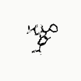 Cc1cc(C(=O)O)cc2c1c(C1CCCCC1)c(Br)n2CC(=O)N(C)C